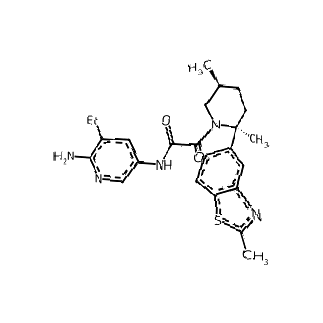 CCc1cc(NC(=O)C(=O)N2C[C@@H](C)CC[C@@]2(C)c2ccc3sc(C)nc3c2)cnc1N